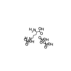 NCCC[C@@H](N)C(=O)O.O=[N+]([O-])O.O=[N+]([O-])O.O=[N+]([O-])O